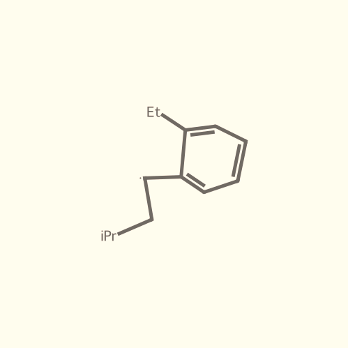 CCc1ccccc1[CH]CC(C)C